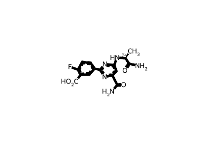 C[C@H](Nc1cc(C(N)=O)nc(-c2ccc(F)c(C(=O)O)c2)n1)C(N)=O